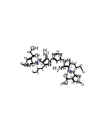 CCCCc1nn(-c2cc(-n3nc(CCCC)c(/N=N/c4nn(C)cc4C(=O)OC)c3N)ncn2)c(N)c1/N=N/c1nn(C)cc1C(=O)CO